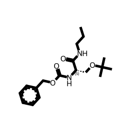 CCCNC(=O)[C@H](COC(C)(C)C)NC(=O)OCc1ccccc1